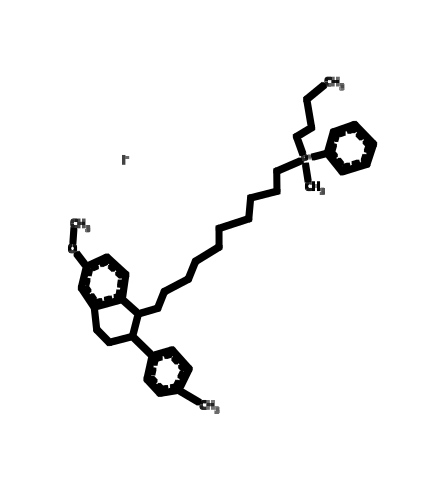 CCCC[P+](C)(CCCCCCCCCCC1c2ccc(OC)cc2CCC1c1ccc(C)cc1)c1ccccc1.[I-]